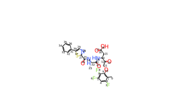 Cc1c(F)cc(F)c(F)c1OCC(=O)[C@H](CC(=O)O)NC(=O)[C@H](C)NC(=O)c1ncc(-c2ccccc2)s1